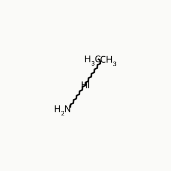 CC(C)CCCCCCCCCCCCCCCCCCCCCN.I